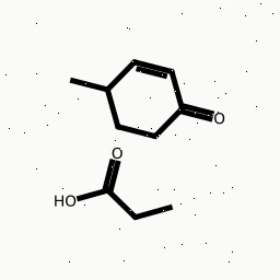 CC1C=CC(=O)CC1.CCC(=O)O